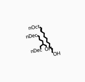 CCCCCCCCC=CCCCCCCCCO.CCCCCCCCCCCCCC(CO)CCCCCCCCCCC